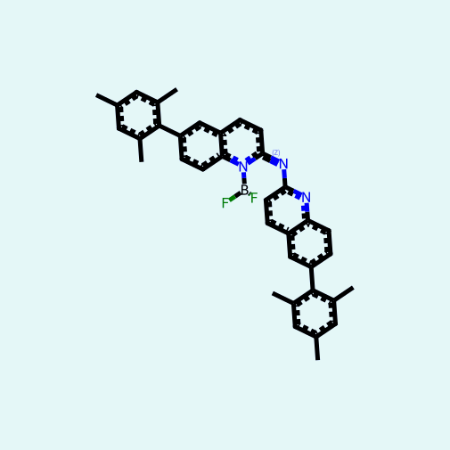 Cc1cc(C)c(-c2ccc3nc(/N=c4/ccc5cc(-c6c(C)cc(C)cc6C)ccc5n4B(F)F)ccc3c2)c(C)c1